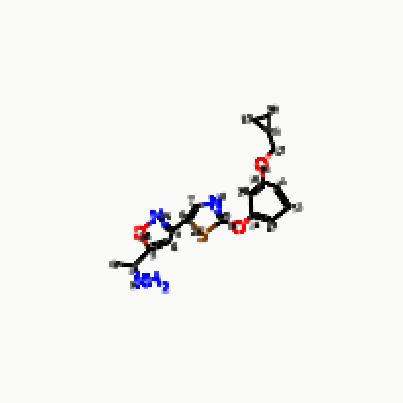 CC(N)c1cc(-c2cnc(Oc3cccc(OCC4CC4)c3)s2)no1